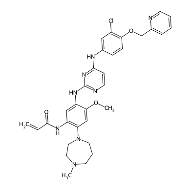 C=CC(=O)Nc1cc(Nc2nccc(Nc3ccc(OCc4ccccn4)c(Cl)c3)n2)c(OC)cc1N1CCCN(C)CC1